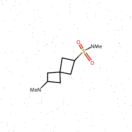 CNC1CC2(C1)CC(S(=O)(=O)NC)C2